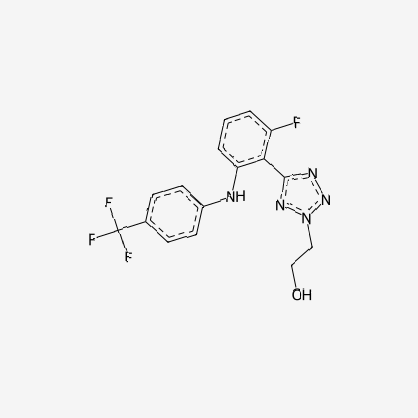 OCCn1nnc(-c2c(F)cccc2Nc2ccc(C(F)(F)F)cc2)n1